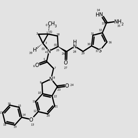 C[C@@]12C[C@@H]1N(C(=O)CN1Cc3cc(Oc4ccccc4)ccc3C1=O)[C@H](C(=O)NCc1cc(C(=N)N)cs1)C2